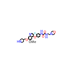 COc1cc2c(Oc3ccc(NC(=O)C(=O)NCCN4CCOCC4)cc3F)ccnc2cc1OCC1CCNCC1